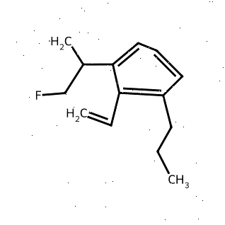 [CH2]C(CF)c1cccc(CCC)c1C=C